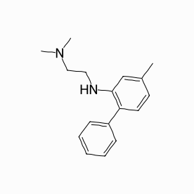 Cc1ccc(-c2ccccc2)c(NCCN(C)C)c1